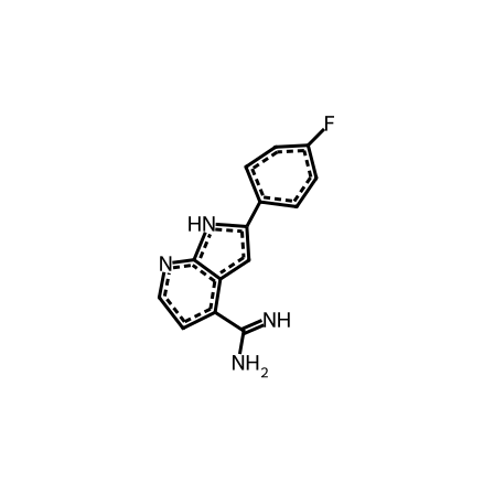 N=C(N)c1ccnc2[nH]c(-c3ccc(F)cc3)cc12